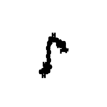 O=C1CCC(N2C(=O)c3cccc(NCCOCCOCCOCCOCCN4CCN(C(=O)c5cc6cc(N7CC[C@](O)(C(=O)NCc8cc(F)cc(F)c8)C7=O)ccc6[nH]5)CC4)c3C2=O)C(=O)N1